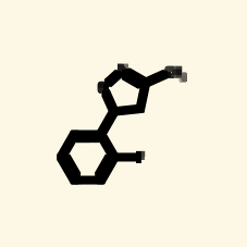 CC1=NOC(c2ccccc2F)C1